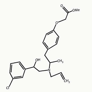 C=CCN(CC(O)c1cccc(Cl)c1)C(C)Cc1ccc(OCC(=O)OC)cc1